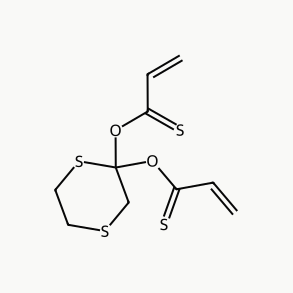 C=CC(=S)OC1(OC(=S)C=C)CSCCS1